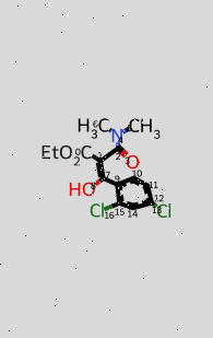 CCOC(=O)C(C(=O)N(C)C)=C(O)c1ccc(Cl)cc1Cl